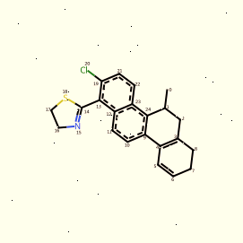 CC1CC2=C(C=CCC2)c2ccc3c(C4=NCCS4)c(Cl)ccc3c21